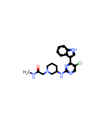 CNC(=O)CN1CCCC(Nc2ncc(Cl)c(-c3c[nH]c4ccccc34)n2)C1